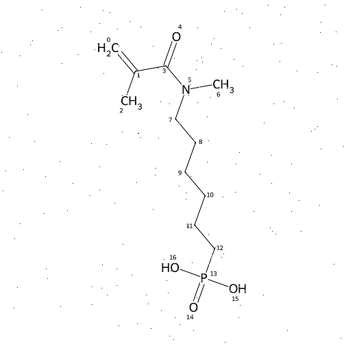 C=C(C)C(=O)N(C)CCCCCCP(=O)(O)O